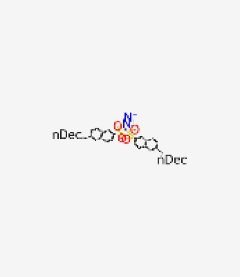 CCCCCCCCCCCc1ccc2cc(S(=O)(=O)C(=[N+]=[N-])S(=O)(=O)c3ccc4cc(CCCCCCCCCCC)ccc4c3)ccc2c1